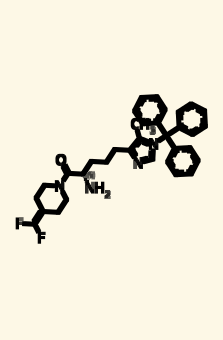 Cc1c(CCC[C@H](N)C(=O)N2CCC(=C(F)F)CC2)ncn1C(c1ccccc1)(c1ccccc1)c1ccccc1